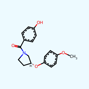 COc1ccc(O[C@@H]2CCN(C(=O)c3ccc(O)cc3)C2)cc1